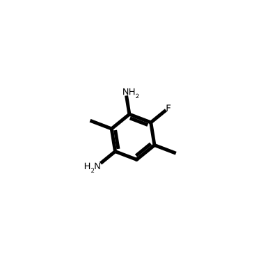 Cc1cc(N)c(C)c(N)c1F